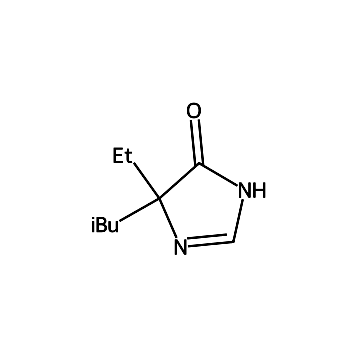 CCC(C)C1(CC)N=CNC1=O